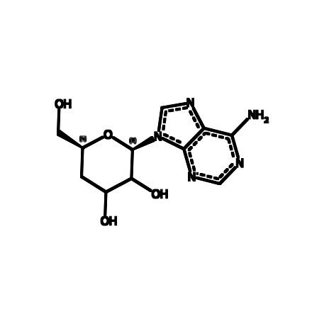 Nc1ncnc2c1ncn2[C@@H]1O[C@H](CO)CC(O)C1O